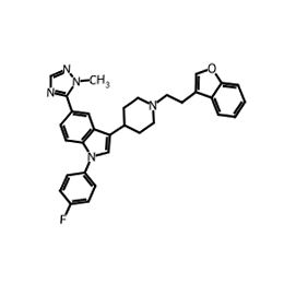 Cn1ncnc1-c1ccc2c(c1)c(C1CCN(CCc3coc4ccccc34)CC1)cn2-c1ccc(F)cc1